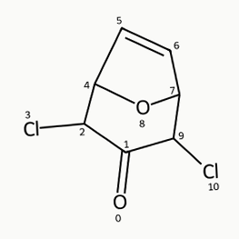 O=C1C(Cl)C2C=CC(O2)C1Cl